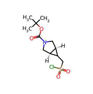 CC(C)(C)OC(=O)N1C[C@@H]2C(CS(=O)(=O)Cl)[C@@H]2C1